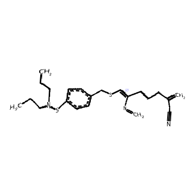 C=N/C(=C\SCc1ccc(SN(CCC)CCC)cc1)CCCC(=C)C#N